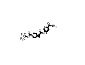 NC(=O)c1ccc(NC(=O)C2CC23CCN(C(=O)OC(C(F)(F)F)C(F)(F)F)CC3)cn1